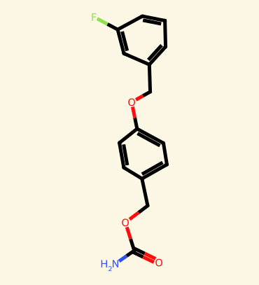 NC(=O)OCc1ccc(OCc2cccc(F)c2)cc1